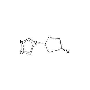 CC(=O)[C@@H]1CC[C@@H](n2cnnc2)C1